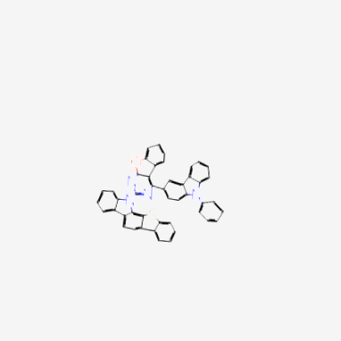 c1ccc(-n2c3ccccc3c3cc(-c4nc(-n5c6ccccc6c6ccc7c8ccccc8sc7c65)nc5oc6ccccc6c45)ccc32)cc1